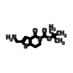 CC(C)(C)OC(=O)N1CCc2sc(CN)cc2C1=O